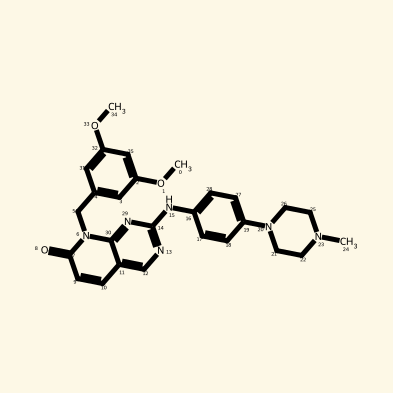 COc1cc(Cn2c(=O)ccc3cnc(Nc4ccc(N5CCN(C)CC5)cc4)nc32)cc(OC)c1